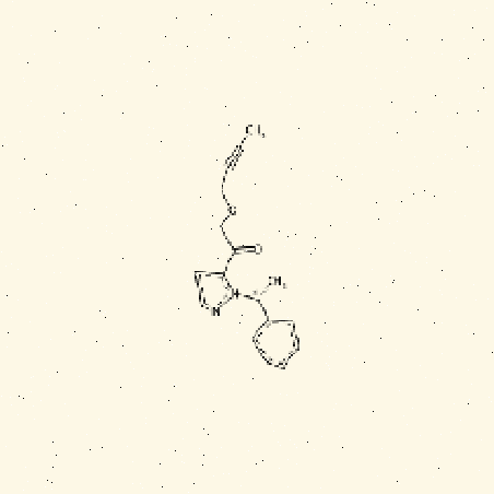 CC#CCOCC(=O)c1ccnn1[C@H](C)c1ccccc1